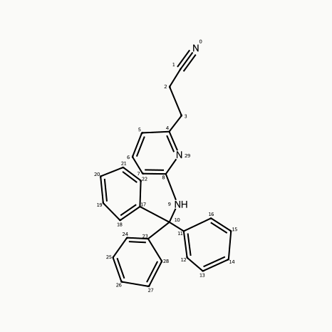 N#CCCc1cccc(NC(c2ccccc2)(c2ccccc2)c2ccccc2)n1